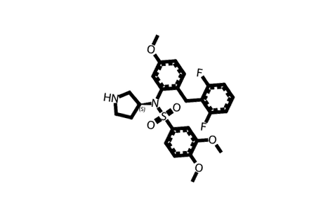 COc1ccc(Cc2c(F)cccc2F)c(N([C@H]2CCNC2)S(=O)(=O)c2ccc(OC)c(OC)c2)c1